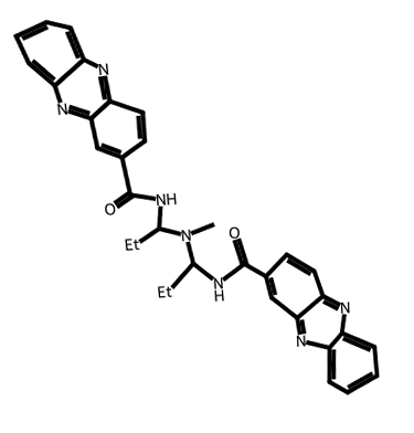 CCC(NC(=O)c1ccc2nc3ccccc3nc2c1)N(C)C(CC)NC(=O)c1ccc2nc3ccccc3nc2c1